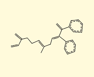 C=CC(=C)CCC=C(C)CC=C(C(=C)c1ccccc1)c1ccccc1